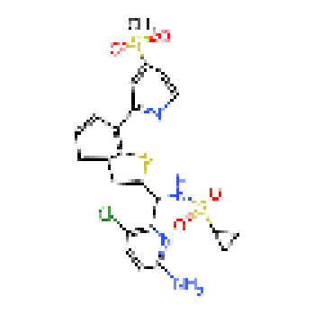 CS(=O)(=O)c1ccnc(-c2cccc3cc(C(NS(=O)(=O)C4CC4)c4nc(N)ccc4Cl)sc23)c1